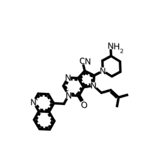 CC(C)=CCn1c(N2CCCC(N)C2)c(C#N)c2ncn(Cc3ccnc4ccccc34)c(=O)c21